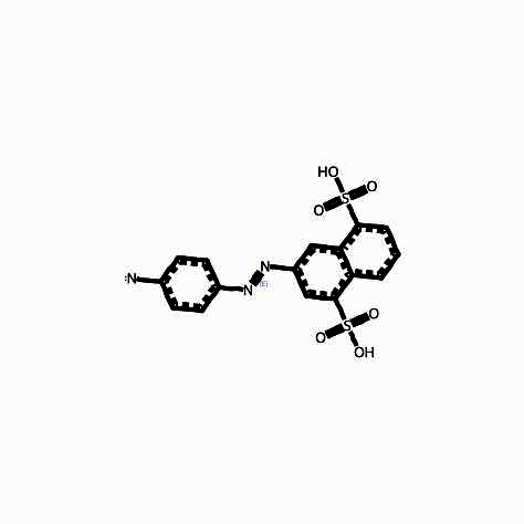 [N]c1ccc(/N=N/c2cc(S(=O)(=O)O)c3cccc(S(=O)(=O)O)c3c2)cc1